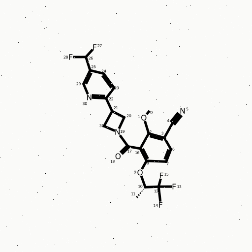 COc1c(C#N)ccc(O[C@@H](C)C(F)(F)F)c1C(=O)N1CC(c2ccc(C(F)F)cn2)C1